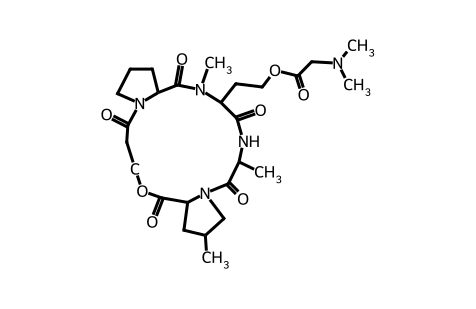 CC1CC2C(=O)OCCC(=O)N3CCCC3C(=O)N(C)C(CCOC(=O)CN(C)C)C(=O)NC(C)C(=O)N2C1